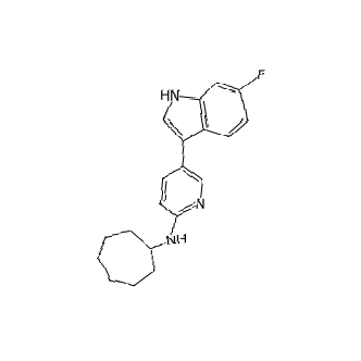 Fc1ccc2c(-c3ccc(NC4CCCCCC4)nc3)c[nH]c2c1